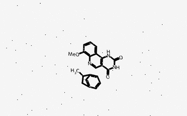 CC1Cc2cccc1c2.COc1cccc2c1ncc1c(=O)[nH]c(=O)[nH]c12